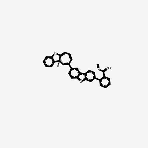 C=NC(=N)c1ccccc1-c1ccc2c(c1)oc1ccc(C3=C[C@H]4C(=CC=C3)Oc3ccccc34)cc12